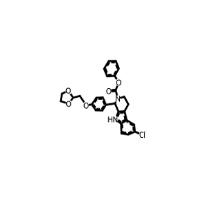 O=C(Oc1ccccc1)N1CCc2c([nH]c3ccc(Cl)cc23)C1c1ccc(OCC2OCCO2)cc1